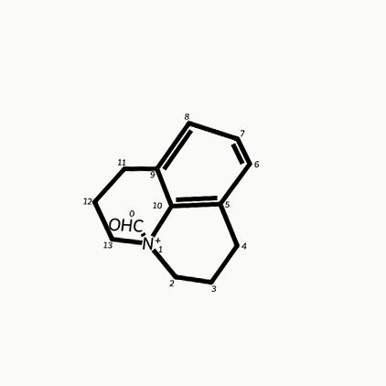 O=C[N+]12CCCc3cccc(c31)CCC2